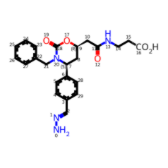 NN=Cc1ccc([C@@H]2C[C@H](CC(=O)NCCC(=O)O)OC(=O)N2Cc2ccccc2)cc1